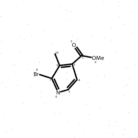 COC(=O)c1ccnc(Br)c1C